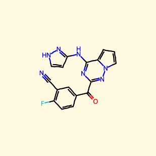 N#Cc1cc(C(=O)c2nc(Nc3cc[nH]n3)c3cccn3n2)ccc1F